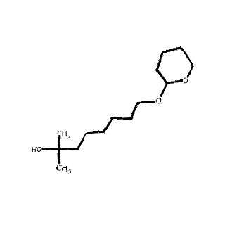 CC(C)(O)CCCCCCOC1CCCCO1